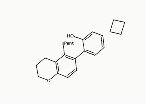 C1CCC1.CCCCCc1c(-c2ccccc2O)ccc2c1CCCO2